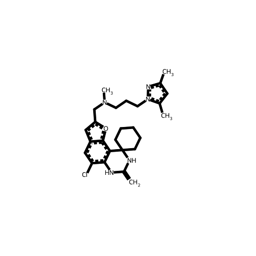 C=C1Nc2c(Cl)cc3cc(CN(C)CCCn4nc(C)cc4C)oc3c2C2(CCCCC2)N1